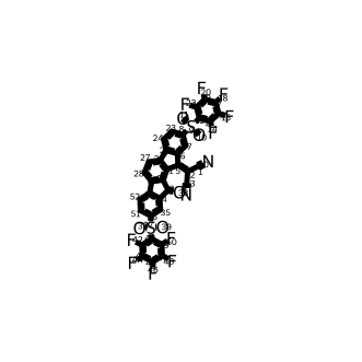 N#CC(C#N)=C1c2cc(S(=O)(=O)c3c(F)c(F)c(F)c(F)c3F)ccc2-c2ccc3c(c21)C(=O)c1cc(S(=O)(=O)c2c(F)c(F)c(F)c(F)c2F)ccc1-3